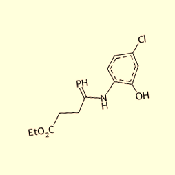 CCOC(=O)CCC(=P)Nc1ccc(Cl)cc1O